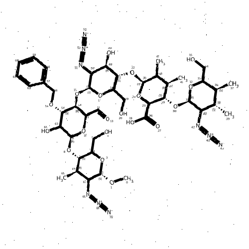 CO[C@H]1OC(CO)[C@@H](O[C@@H]2OC(C=O)[C@H](O[C@@H]3OC(CO)[C@@H](O[C@@H]4OC(C(=O)O)[C@@H](O[C@H]5OC(CO)[C@@H](C)[C@H](C)C5N=[N+]=[N-])[C@H](C)C4C)[C@H](O)C3N=[N+]=[N-])[C@@H](OCc3ccccc3)C2O)[C@H](C)C1N=[N+]=[N-]